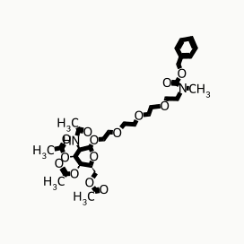 CC(=O)N[C@H]1C(OCCOCCOCCOCCN(C)C(=O)OCc2ccccc2)O[C@H](COC(C)=O)[C@H](OC(C)=O)[C@@H]1OC(C)=O